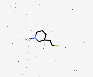 CN1CCC[C@@](F)(CCS)C1